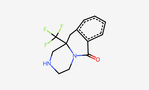 O=C1c2ccccc2CC2(C(F)(F)F)CNCCN12